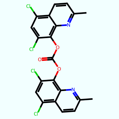 Cc1ccc2c(Cl)cc(Cl)c(OC(=O)Oc3c(Cl)cc(Cl)c4ccc(C)nc34)c2n1